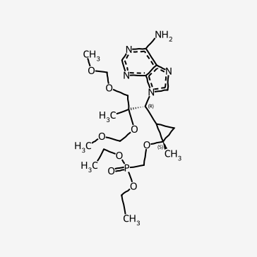 CCOP(=O)(CO[C@@]1(C)CC1[C@@H](n1cnc2c(N)ncnc21)C(C)(COCOC)OCOC)OCC